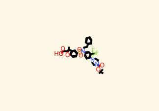 Cc1c(C(=O)O)oc2ccc(S(=O)(=O)N(CCc3ccccc3)c3ccc(N4CCN(C(=O)OC(C)(C)C)CC4)c(C(F)(F)F)c3)cc12